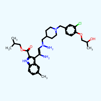 Cc1ccc2[nH]c(C(=O)OCC(C)C)c(/C(N)=C/N(N)CC3CCN(Cc4ccc(OCC(C)O)c(Cl)c4)CC3)c2c1